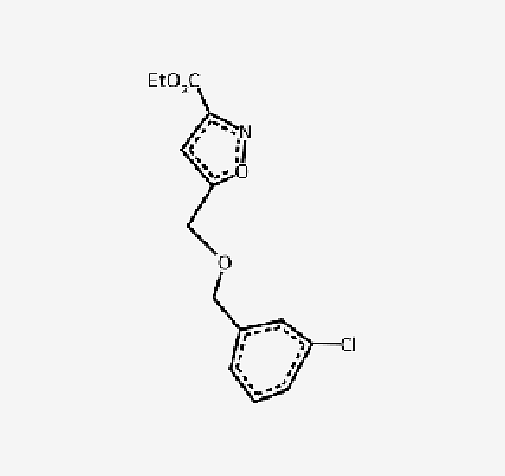 CCOC(=O)c1cc(COCc2cccc(Cl)c2)on1